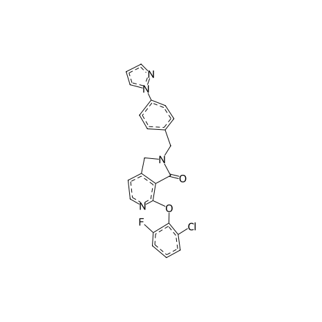 O=C1c2c(ccnc2Oc2c(F)cccc2Cl)CN1Cc1ccc(-n2cccn2)cc1